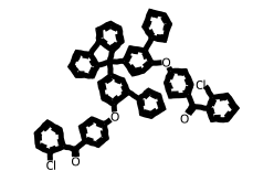 O=C(c1ccc(Oc2ccc(C3(c4ccc(Oc5ccc(C(=O)c6ccccc6Cl)cc5)c(-c5ccccc5)c4)c4ccccc4-c4ccccc43)cc2-c2ccccc2)cc1)c1ccccc1Cl